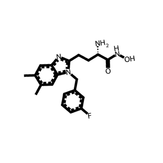 Cc1cc2nc(CC[C@H](N)C(=O)NO)n(Cc3cccc(F)c3)c2cc1C